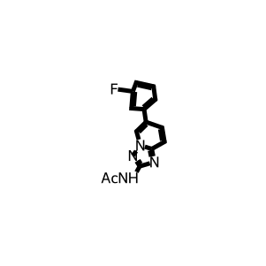 CC(=O)Nc1nc2ccc(-c3cccc(F)c3)cn2n1